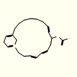 NC(=O)OC1/C=C/CCCCCCC2=CCC=[N+](CC/C=C/C=C/C1)C2